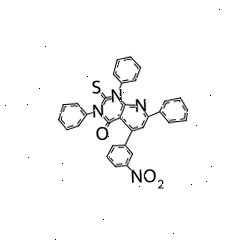 O=c1c2c(-c3cccc([N+](=O)[O-])c3)cc(-c3ccccc3)nc2n(-c2ccccc2)c(=S)n1-c1ccccc1